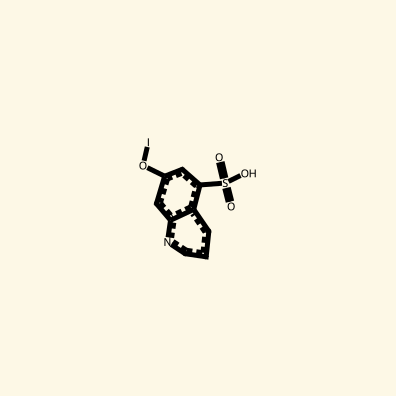 O=S(=O)(O)c1cc(OI)cc2ncccc12